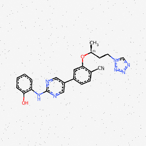 C[C@@H](CCn1cnnn1)Oc1cc(-c2cnc(Nc3ccccc3O)nc2)ccc1C#N